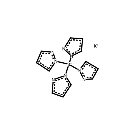 [K+].c1cnn([B-](n2cccn2)(n2cccn2)n2cccn2)c1